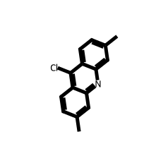 Cc1ccc2c(Cl)c3ccc(C)cc3nc2c1